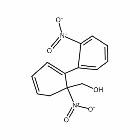 O=[N+]([O-])c1ccccc1C1=CC=CCC1(CO)[N+](=O)[O-]